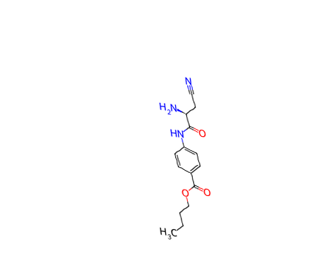 CCCCOC(=O)c1ccc(NC(=O)[C@@H](N)CC#N)cc1